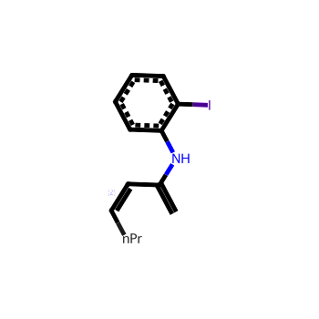 C=C(/C=C\CCC)Nc1ccccc1I